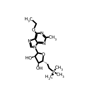 C=P(C)(C)CC[C@H]1OC(n2cnc3c(OCC)nc(C)nc32)[C@H](O)[C@@H]1O